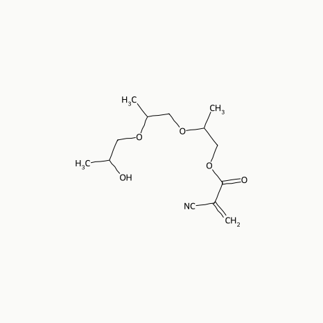 C=C(C#N)C(=O)OCC(C)OCC(C)OCC(C)O